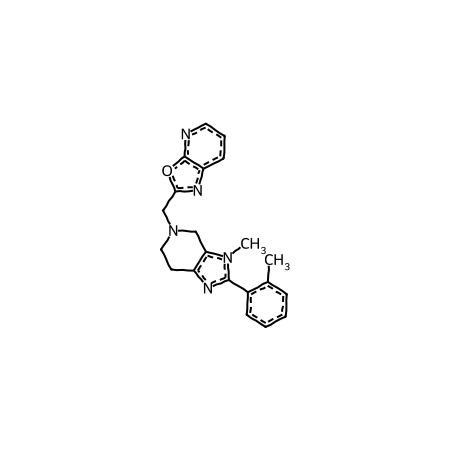 Cc1ccccc1-c1nc2c(n1C)CN(Cc1nc3cccnc3o1)CC2